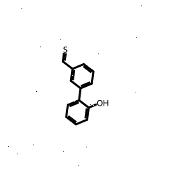 Oc1ccccc1-c1cccc(C=S)c1